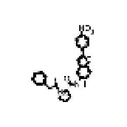 O=C(Nc1ccc2oc(-c3ccc([N+](=O)[O-])cc3)cc2c1)[C@@H]1CCCN1C(=O)Cc1ccccc1